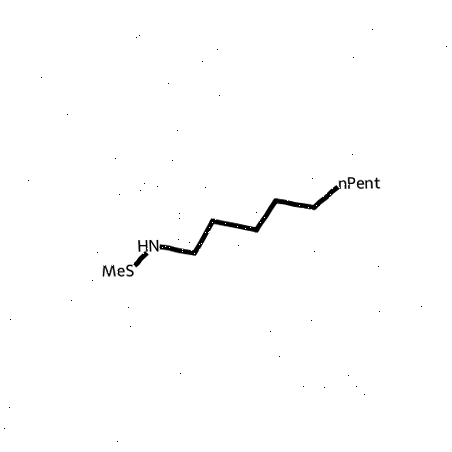 CCCCCCCCCCNSC